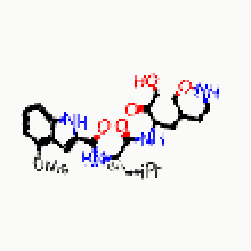 COc1cccc2[nH]c(C(=O)N[C@@H](CC(C)C)C(=O)NC(CC3CCNOC3)C(=O)CO)cc12